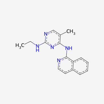 CCNc1ncc(C)c(Nc2nccc3ccccc23)n1